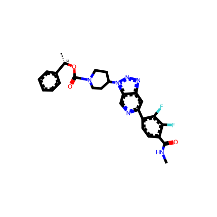 CNC(=O)c1ccc(-c2cc3nnn(C4CCN(C(=O)O[C@@H](C)c5ccccc5)CC4)c3cn2)c(F)c1F